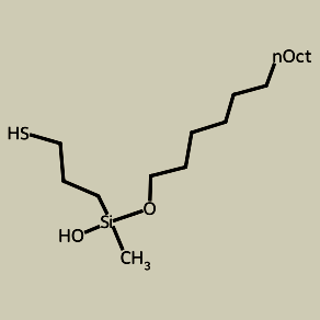 CCCCCCCCCCCCCCO[Si](C)(O)CCCS